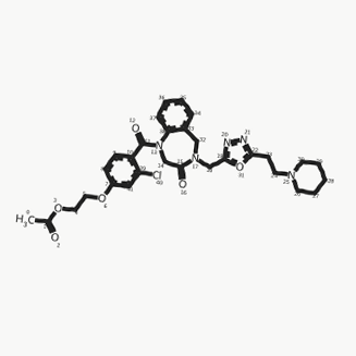 CC(=O)OCCOc1ccc(C(=O)N2CC(=O)N(Cc3nnc(CCN4CCCCC4)o3)Cc3ccccc32)c(Cl)c1